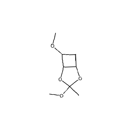 COC1CC2OC(C)(OC)OC12